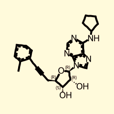 Cc1ccccc1C#CC[C@H]1O[C@@H](n2cnc3c(NC4CCCC4)ncnc32)[C@H](O)[C@@H]1O